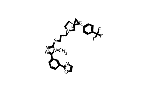 Cn1c(SCCCN2CC[C@]3(C[C@@H]3c3ccc(C(F)(F)F)cc3)C2)nnc1-c1cccc(-c2ncco2)c1